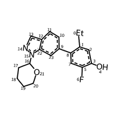 CCc1cc(O)c(F)cc1-c1ccc2cnn(C3CCCCO3)c2c1